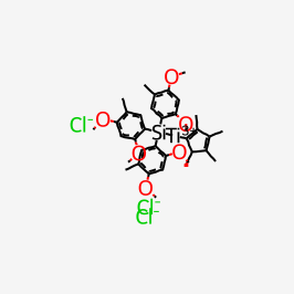 COc1cc(OC)c([Si]([Ti+3][C]2=C(C)C(C)=C(C)C2C)(c2cc(C)c(OC)cc2OC)c2cc(C)c(OC)cc2OC)cc1C.[Cl-].[Cl-].[Cl-]